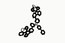 c1ccc(-c2ccc(N(c3cccc(-c4ccc5c(c4)C4(c6ccccc6Oc6ccccc64)c4ccccc4-5)c3)c3cccc(-c4cccc5c4-c4ccccc4C54c5ccccc5Oc5ccccc54)c3)cc2)cc1